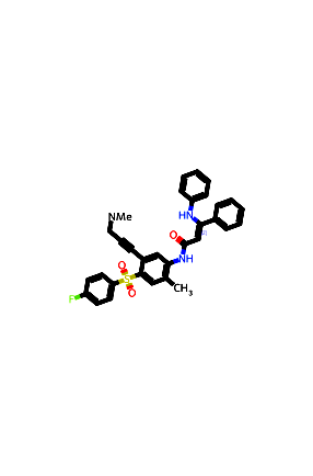 CNCC#Cc1cc(NC(=O)/C=C(\Nc2ccccc2)c2ccccc2)c(C)cc1S(=O)(=O)c1ccc(F)cc1